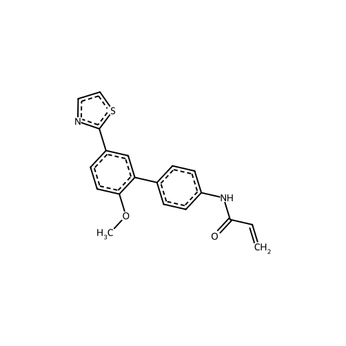 C=CC(=O)Nc1ccc(-c2cc(-c3nccs3)ccc2OC)cc1